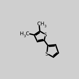 Cc1cc(-c2cccs2)sc1C